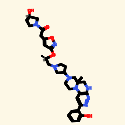 C[C@@H](CN1CCC(N2CCN3c4cc(-c5ccccc5O)nnc4NCC3(C)C2)C1)Oc1cc(CC(=O)N2CC[C@@H](O)C2)on1